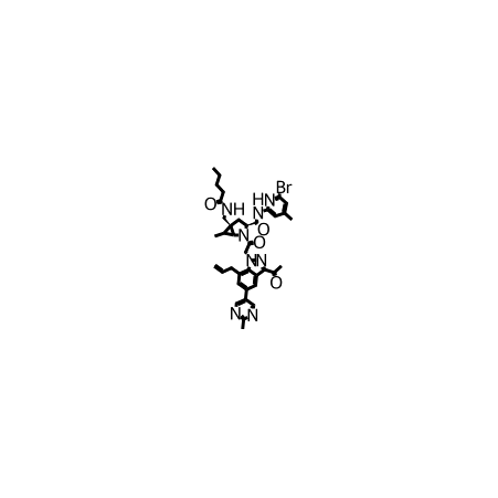 C=CCc1cc(-c2cnc(C)nc2)cc2c(C(C)=O)nn(CC(=O)N3C4C(C)[C@]4(CNC(=O)CCCC)C[C@H]3C(=O)Nc3cc(C)cc(Br)n3)c12